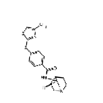 Cc1csc(Sc2ccc(C(=O)N[C@H]3CN4CCC3CC4)cc2)n1